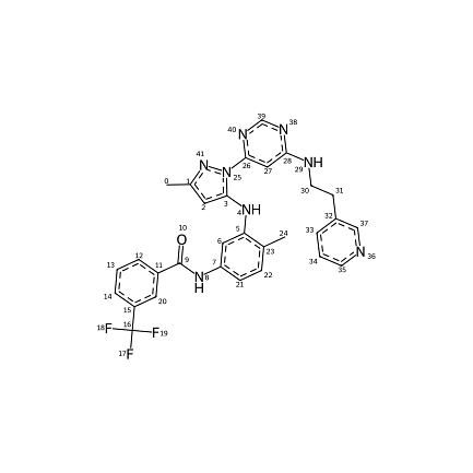 Cc1cc(Nc2cc(NC(=O)c3cccc(C(F)(F)F)c3)ccc2C)n(-c2cc(NCCc3cccnc3)ncn2)n1